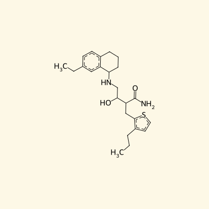 CCCc1ccsc1CC(C(N)=O)C(O)CNC1CCCc2ccc(CC)cc21